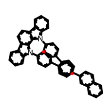 c1ccc(-c2ccc(-n3c4ccccc4c4ccc5c6ccccc6n(-c6ccc(-c7ccc(-c8ccc9ccccc9c8)cc7)cc6)c5c43)cc2)cc1